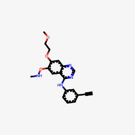 C#Cc1cccc(Nc2ncnc3cc(OCCOC)c(ONC)cc23)c1